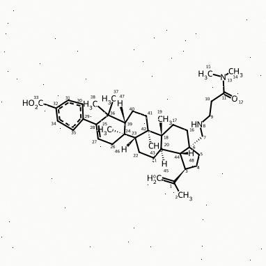 C=C(C)[C@@H]1CC[C@]2(CNCCC(=O)N(C)C)CC[C@]3(C)[C@H](CC[C@@H]4[C@@]5(C)CC=C(c6ccc(C(=O)O)cc6)C(C)(C)[C@@H]5CC[C@]43C)[C@@H]12